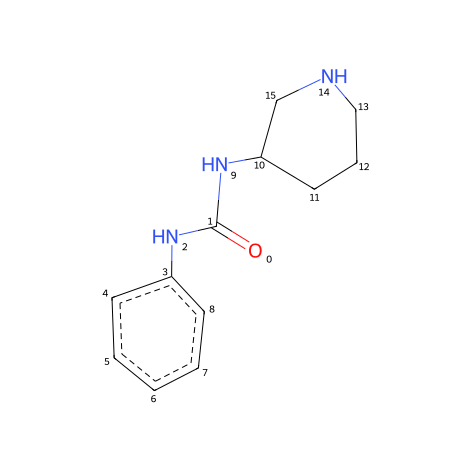 O=C(Nc1ccccc1)NC1CCCNC1